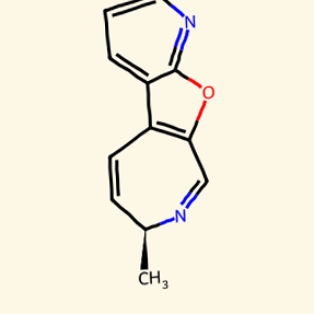 C[C@H]1C=Cc2c(oc3ncccc23)C=N1